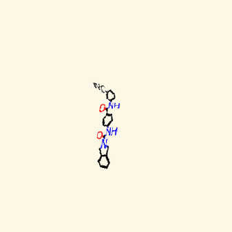 N#Cc1cccc(NC(=O)c2ccc(NC(=O)N3Cc4ccccc4C3)cc2)c1